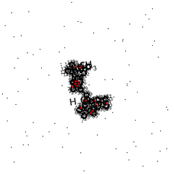 CC1(C)c2ccccc2-c2ccc(N(c3ccc4c(c3)C(c3ccccc3)(c3ccccc3)c3ccc(-c5ccc6c(c5)C(C)(C)c5cc(N(c7ccc8c(c7)C(c7ccccc7)(c7ccccc7)c7ccccc7-8)c7cc8c(cc7-c7ccccc7)-c7ccccc7C87c8ccccc8-c8ccccc87)ccc5-6)cc3-4)c3cc4c(cc3-c3ccccc3)-c3ccccc3C4(c3ccccc3)c3ccccc3)cc21